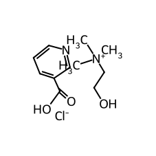 C[N+](C)(C)CCO.O=C(O)c1cccnc1.[Cl-]